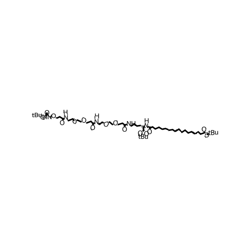 CC(C)(C)OC(=O)CCCCCCCCCCCCCCCCC(=O)N[C@@H](CCCCNC(=O)CCOCCOCCNC(=O)CCOCCOCCNC(=O)CCONC(=O)OC(C)(C)C)C(=O)OC(C)(C)C